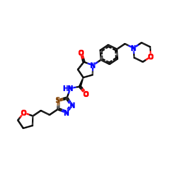 O=C(Nc1nnc(CCC2CCCO2)s1)[C@H]1CC(=O)N(c2ccc(CN3CCOCC3)cc2)C1